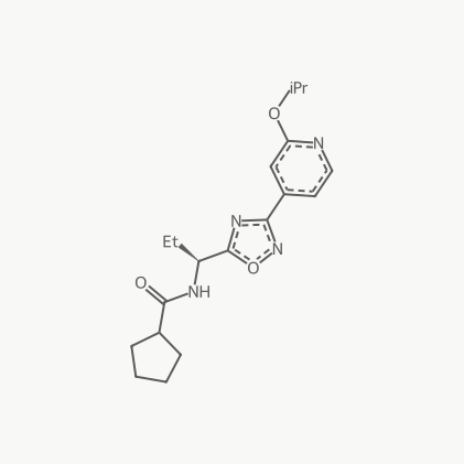 CC[C@H](NC(=O)C1CCCC1)c1nc(-c2ccnc(OC(C)C)c2)no1